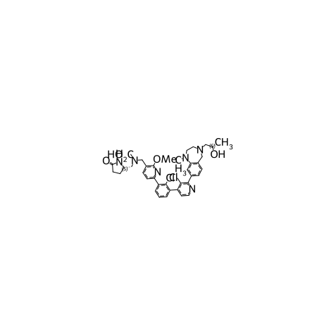 COc1nc(-c2cccc(-c3ccnc(-c4ccc5c(c4)N(C)CCN(C[C@H](C)O)C5)c3Cl)c2Cl)ccc1CN(C[C@@H]1CCC(=O)N1)C(=O)O